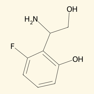 NC(CO)c1c(O)cccc1F